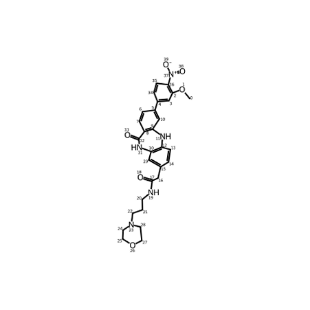 COc1cc(-c2ccc3c(c2)Nc2ccc(CC(=O)NCCCN4CCOCC4)cc2NC3=O)ccc1[N+](=O)[O-]